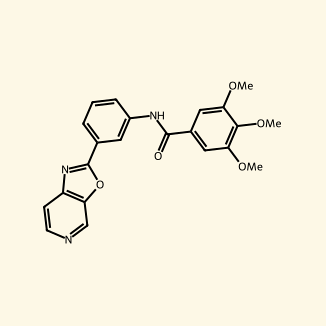 COc1cc(C(=O)Nc2cccc(-c3nc4ccncc4o3)c2)cc(OC)c1OC